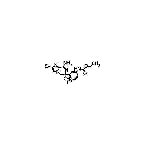 CCOC(=O)Nc1ccc(F)c(C2(C)Cn3cc(Cl)nc3C(N)=N2)c1